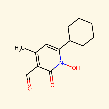 Cc1cc(C2CCCCC2)n(O)c(=O)c1C=O